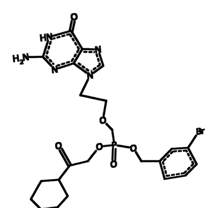 Nc1nc2c(ncn2CCOCP(=O)(OCC(=O)C2CCCCC2)OCc2cccc(Br)c2)c(=O)[nH]1